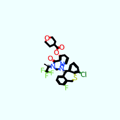 C[C@@H](N1CN([C@H]2c3cccc(F)c3CSc3c(Cl)cccc32)N2C=CCC(OC(=O)C3CCOCC3)=C2C1=O)C(F)(F)F